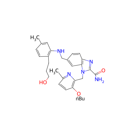 CCCCOc1ccc(C)nc1Cn1c(C(N)=O)nc2ccc(CNc3cc(C)ccc3CCCO)cc21